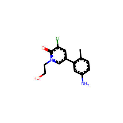 Cc1ccc(N)cc1-c1cc(Cl)c(=O)n(CCO)c1